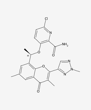 Cc1cc([C@@H](C)Oc2ccc(Cl)nc2C(N)=O)c2oc(-c3cnn(C)n3)c(C)c(=O)c2c1